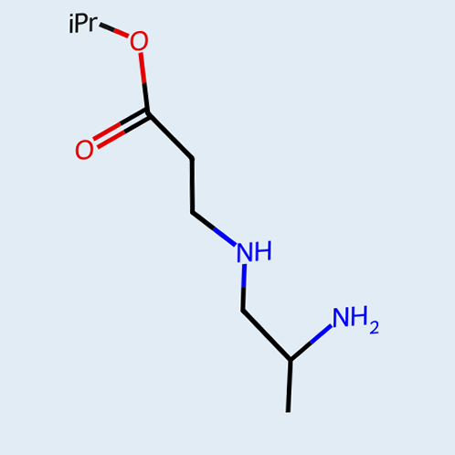 CC(N)CNCCC(=O)OC(C)C